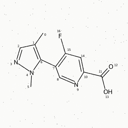 Cc1cnn(C)c1-c1cnc(C(=O)O)cc1F